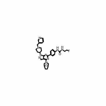 O=C(NCCF)Nc1ccc(-c2nc(N3CC4CCC(C3)O4)c3cnn(C4CCN(Cc5cccnc5)CC4)c3n2)cc1